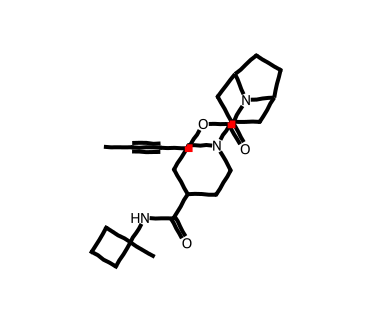 CC#CCOC(=O)N1C2CCC1CC(N1CCC(C(=O)NC3(C)CCC3)CC1)C2